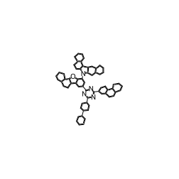 c1ccc(-c2ccc(-c3nc(-c4ccc5c(ccc6ccccc65)c4)nc(-c4cc(-n5c6cc7ccccc7cc6c6c7ccccc7ccc65)c5oc6c7ccccc7ccc6c5c4)n3)cc2)cc1